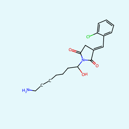 NCCCCCCC(O)N1C(=O)C/C(=C\c2ccccc2Cl)C1=O